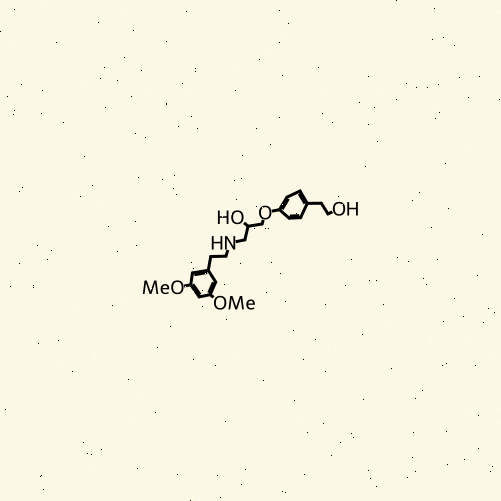 COc1cc(CCNCC(O)COc2ccc(CCO)cc2)cc(OC)c1